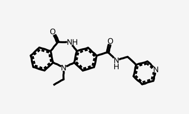 CCN1c2ccc(C(=O)NCc3cccnc3)cc2NC(=O)c2ccccc21